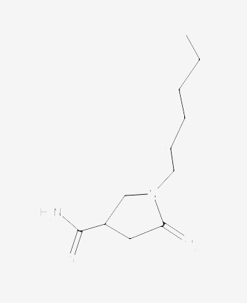 CCCCCCN1CC(C(N)=O)CC1=O